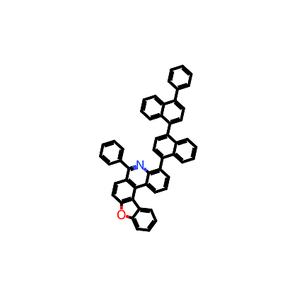 c1ccc(-c2ccc(-c3ccc(-c4cccc5c4nc(-c4ccccc4)c4ccc6oc7ccccc7c6c45)c4ccccc34)c3ccccc23)cc1